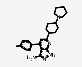 Cc1ccc(-c2cc(C3CCC(N4CCCCC4)CC3)nc3[nH]nc(N)c23)cc1